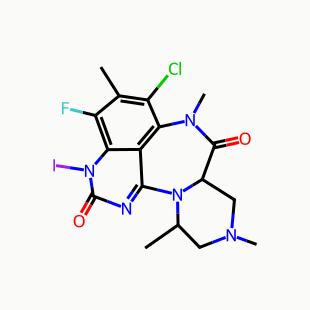 Cc1c(Cl)c2c3c(nc(=O)n(I)c3c1F)N1C(C)CN(C)CC1C(=O)N2C